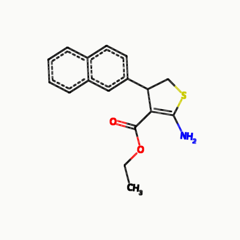 CCOC(=O)C1=C(N)SCC1c1ccc2ccccc2c1